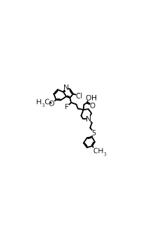 COc1ccc2ncc(Cl)c(C(F)CCC3(CC(=O)O)CCN(CCSc4cccc(C)c4)CC3)c2c1